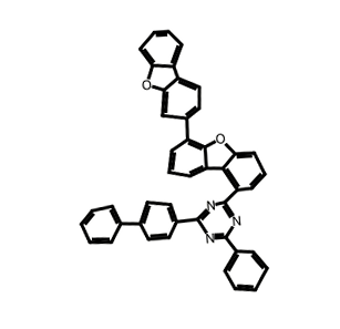 c1ccc(-c2ccc(-c3nc(-c4ccccc4)nc(-c4cccc5oc6c(-c7ccc8c(c7)oc7ccccc78)cccc6c45)n3)cc2)cc1